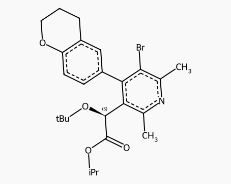 Cc1nc(C)c([C@H](OC(C)(C)C)C(=O)OC(C)C)c(-c2ccc3c(c2)CCCO3)c1Br